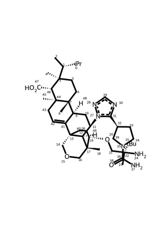 CC(C)[C@@H](C)[C@@]1(C)CC[C@]2(C)[C@H]3CC[C@@H]4[C@@]5(COC[C@@]4(C)[C@@H](OC[C@](C)(N)C(C)(C)C)[C@H](n4ncnc4[C@H]4CCN(C(N)=O)C4)C5)C3=CC[C@@]2(C)[C@@H]1C(=O)O